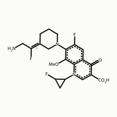 COc1c(N2CCC/C(=C(/F)CN)C2)c(F)cc2c(=O)c(C(=O)O)cn(C3CC3F)c12